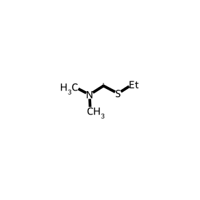 CCS[CH]N(C)C